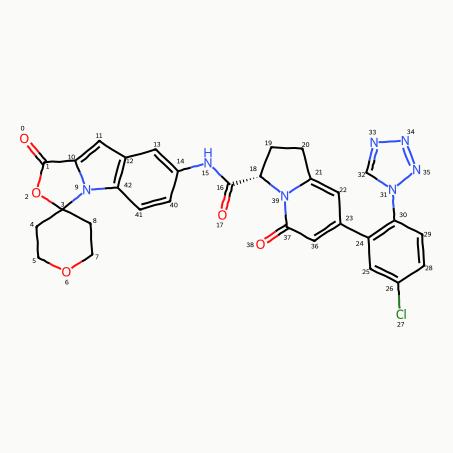 O=C1OC2(CCOCC2)n2c1cc1cc(NC(=O)[C@@H]3CCc4cc(-c5cc(Cl)ccc5-n5cnnn5)cc(=O)n43)ccc12